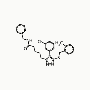 Cc1ccccc1CSc1nnc(CCCCC(=O)NCc2ccccc2)n1-c1cccc(Cl)c1